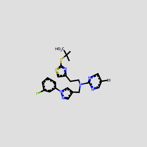 CCc1cnc(N(CCc2csc(SC(C)(C)C(=O)O)n2)Cc2cnn(-c3cccc(F)c3)c2)nc1